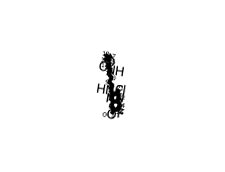 COc1cc2nc(NCCCCNC(=O)OC(C)(C)C)c(Cl)nc2cc1F